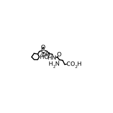 N[C@@H](CCC(=O)O)C(=O)NC[C@@H](O)CP(=O)(O)CC1CCCCC1